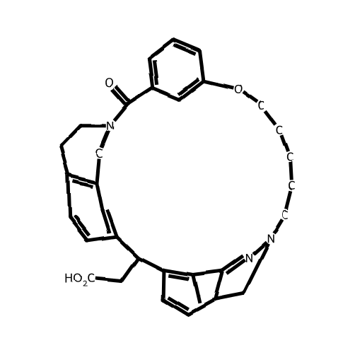 CC1=C2C=CC3CN(CCCCCOc4cccc(c4)C(=O)N4CCc5ccc(cc5C4)C2CC(=O)O)N=C13